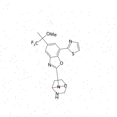 COC(C)(c1cc(-c2nccs2)c2oc(N3CC4CCC(C3)NC4)nc2c1)C(F)(F)F